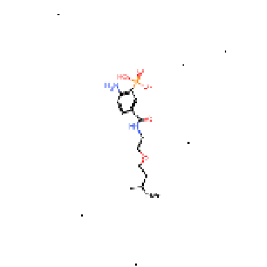 COC(C)CCOCCNC(=O)c1ccc(N)c(P(=O)(O)O)c1